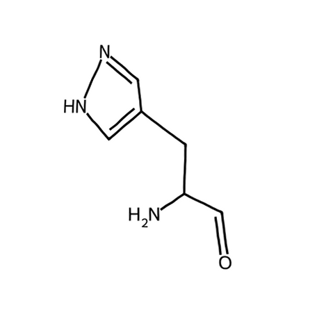 NC(C=O)Cc1cn[nH]c1